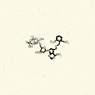 Nc1ncnc2c1c(COCc1c([N+](=O)[O-])cccc1[N+](=O)[O-])cn2[C@H]1C[C@@H](O)C(COP(=O)(O)OP(=O)(O)OP(=O)(O)O)O1